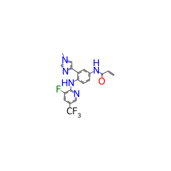 C=CC(=O)Nc1ccc(Nc2ncc(C(F)(F)F)cc2F)c(-c2cn(C)cn2)c1